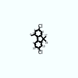 Cc1cc(Cl)cc2c1-c1ccc(Cl)cc1C2(C)C